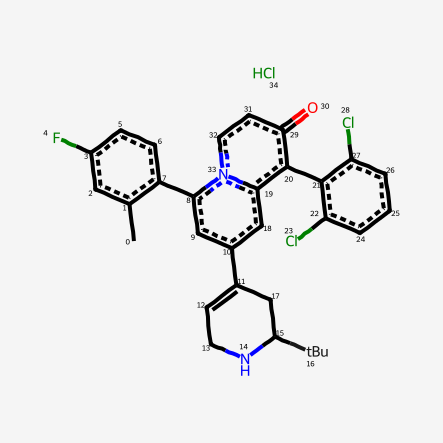 Cc1cc(F)ccc1-c1cc(C2=CCNC(C(C)(C)C)C2)cc2c(-c3c(Cl)cccc3Cl)c(=O)ccn12.Cl